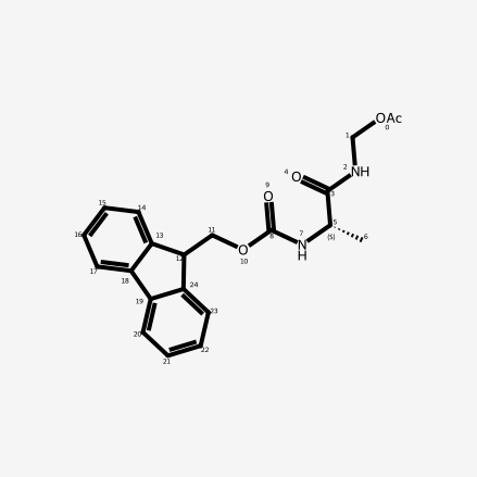 CC(=O)OCNC(=O)[C@H](C)NC(=O)OCC1c2ccccc2-c2ccccc21